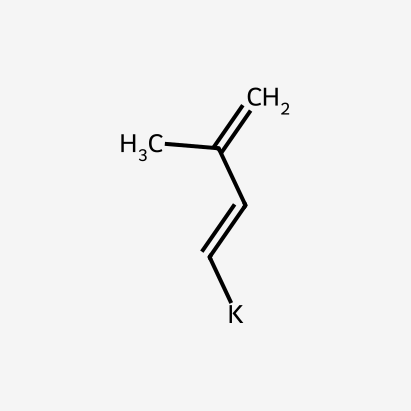 C=C(C)C=[CH][K]